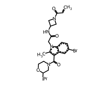 C=CC(=O)N1CC(NC(=O)Cn2c(C)c(C(=O)N3CCOC(C(C)C)C3)c3cc(Br)ccc32)C1